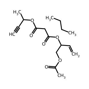 C#CC(C)OC(=O)CC(=O)OC(C=C)COC(C)=O.CCCC